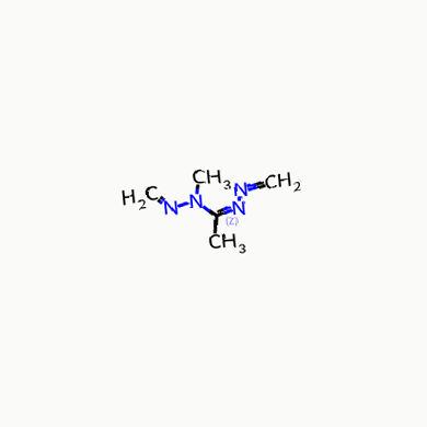 C=N/N=C(/C)N(C)N=C